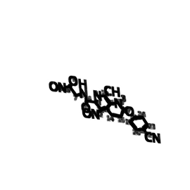 Cc1nc(C(=O)NCC(=O)N=O)c(N=O)c2ccc(Oc3ccc(C#N)cc3)nc12